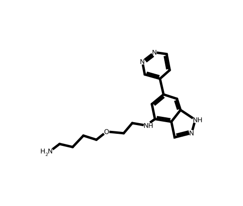 NCCCCOCCNc1cc(-c2ccnnc2)cc2[nH]ncc12